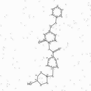 O=C(Cn1ncc(OCc2ccccc2)cc1=O)c1ccc(CN2CCC(O)CC2)cc1